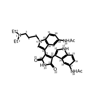 CCN(CC)CCCn1cc(C2=C(c3c[nH]c4ccc(NC(C)=O)cc34)C(=O)NC2=O)c2cc(NC(C)=O)ccc21